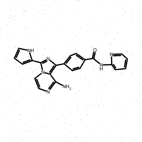 Nc1nccn2c(-c3ccc[nH]3)nc(-c3ccc(C(=O)Nc4ccccn4)cc3)c12